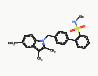 CCOC(=O)c1ccc2c(c1)c(C)c(C)n2Cc1ccc(-c2ccccc2S(=O)(=O)NC(C)(C)C)cc1